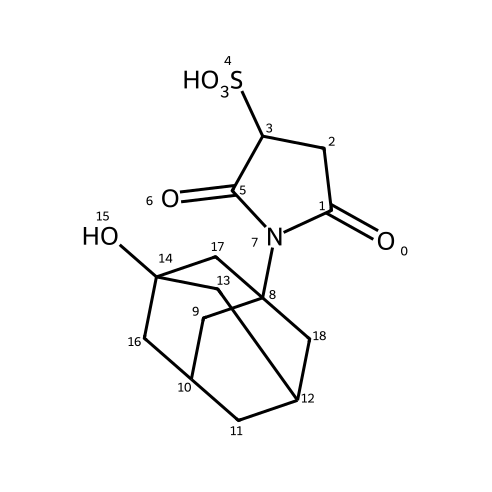 O=C1CC(S(=O)(=O)O)C(=O)N1C12CC3CC(CC(O)(C3)C1)C2